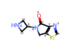 O=C1c2ncsc2CN1C1CNC1